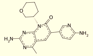 Cc1nc(N)nc2c1cc(-c1ccc(N)nc1)c(=O)n2[C@H]1CCCOC1